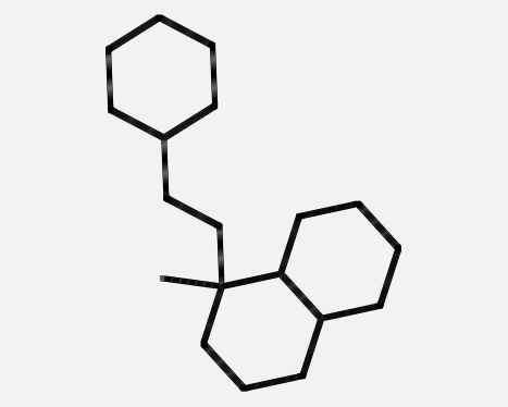 CC1(CCC2CCCCC2)CCCC2CCCCC21